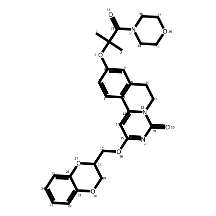 CC(C)(Oc1ccc2c(c1)CCn1c-2cc(OCC2COc3ccccc3O2)nc1=O)C(=O)N1CCOCC1